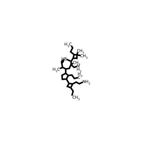 CCCC1CC(C2CCC(C3CC(C)(CN)C(C4CC(C)(C)C4CCC)BC#CC3C)C2CCC)C1CCN